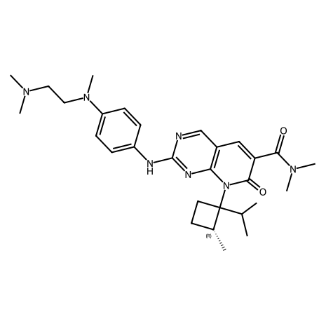 CC(C)C1(n2c(=O)c(C(=O)N(C)C)cc3cnc(Nc4ccc(N(C)CCN(C)C)cc4)nc32)CC[C@H]1C